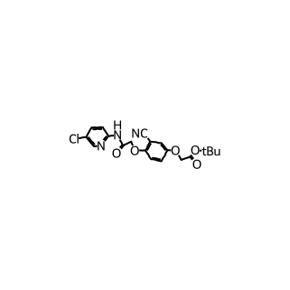 CC(C)(C)OC(=O)COc1ccc(OCC(=O)Nc2ccc(Cl)cn2)c(C#N)c1